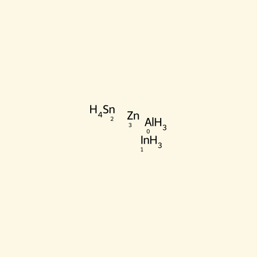 [AlH3].[InH3].[SnH4].[Zn]